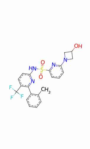 Cc1ccccc1-c1nc(NS(=O)(=O)c2cccc(N3CC(O)C3)n2)ccc1C(F)(F)F